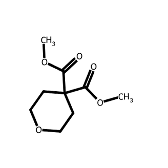 COC(=O)C1(C(=O)OC)CCOCC1